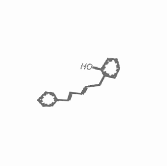 Oc1ccccc1CC=CC=Cc1ccccc1